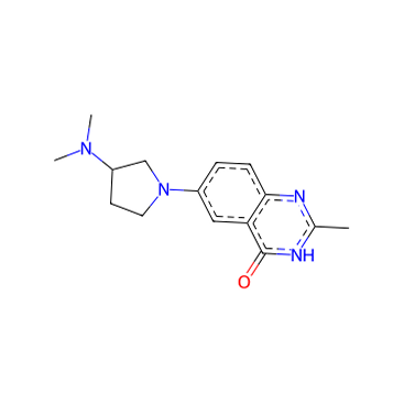 Cc1nc2ccc(N3CCC(N(C)C)C3)cc2c(=O)[nH]1